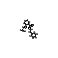 C=C(C)COc1ccccc1C(=O)OCCc1ccccc1